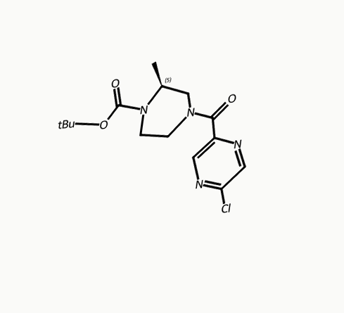 C[C@H]1CN(C(=O)c2cnc(Cl)cn2)CCN1C(=O)OC(C)(C)C